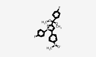 COC(OC)(c1ccc(F)cc1)c1cc(-c2ccc([S+](C)[O-])cc2)n(-c2ccc(F)cc2)n1